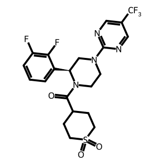 O=C(C1CCS(=O)(=O)CC1)N1CCN(c2ncc(C(F)(F)F)cn2)C[C@@H]1c1cccc(F)c1F